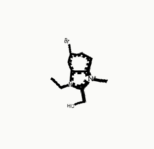 CCn1c(CO)[n+](C)c2ccc(Br)cc21